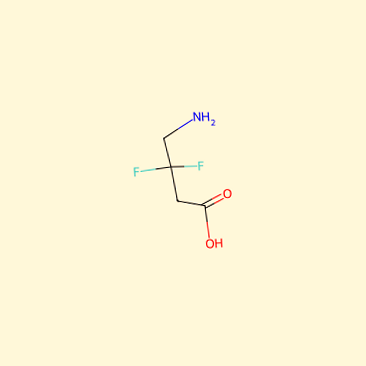 NCC(F)(F)CC(=O)O